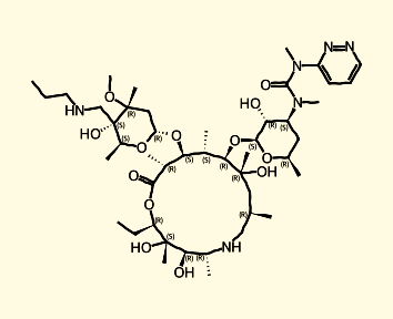 CCCNC[C@]1(O)[C@H](C)O[C@@H](O[C@H]2[C@H](C)[C@@H](O[C@@H]3O[C@H](C)C[C@H](N(C)C(=O)N(C)c4cccnn4)[C@H]3O)[C@](C)(O)C[C@@H](C)CN[C@H](C)[C@@H](O)[C@](C)(O)[C@@H](CC)OC(=O)[C@@H]2C)C[C@@]1(C)OC